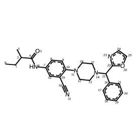 CCC(C)C(=O)Nc1ccc(N2CCN(C(c3ccccc3)c3ncco3)CC2)c(C#N)c1